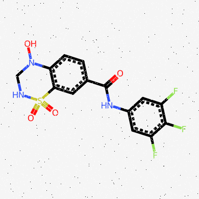 O=C(Nc1cc(F)c(F)c(F)c1)c1ccc2c(c1)S(=O)(=O)NCN2O